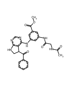 COC(=O)c1cc(NC(=O)CNC(C)=O)cc(Nc2ncnc3c2C(C(=O)c2ccccc2)CN3)c1